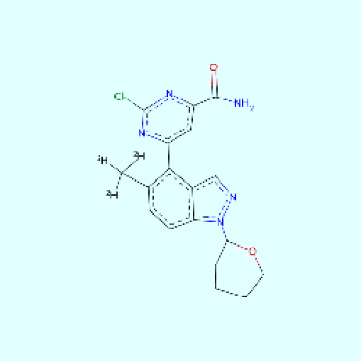 [2H]C([2H])([2H])c1ccc2c(cnn2C2CCCCO2)c1-c1cc(C(N)=O)nc(Cl)n1